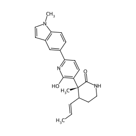 C/C=C/C1CCNC(=O)[C@@]1(C)c1ccc(-c2ccc3c(ccn3C)c2)nc1O